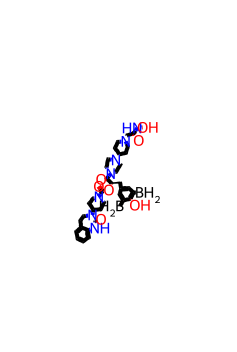 Bc1cc(C[C@@H](OC(=O)N2CCC(N3CCc4ccccc4NC3=O)CC2)C(=O)N2CCN(C3CCN(CC(=O)NO)CC3)CC2)cc(B)c1O